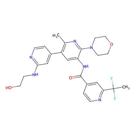 Cc1nc(N2CCOCC2)c(NC(=O)c2ccnc(C(C)(F)F)c2)cc1-c1ccnc(NCCO)c1